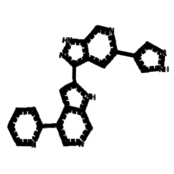 c1ccc(-c2cncc3[nH]c(-c4n[nH]c5cnc(-c6cn[nH]c6)cc45)cc23)nc1